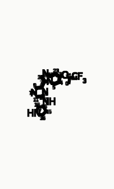 CC(Oc1ccn2c(-c3cncc(N[C@@H]4CCNC4)n3)cnc2c1)C(F)(F)F